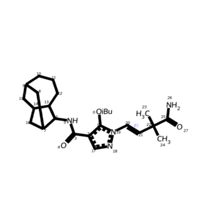 CC(C)COc1c(C(=O)NC2C3CC4CCCC2C(C4)C3)cnn1/C=C/C(C)(C)C(N)=O